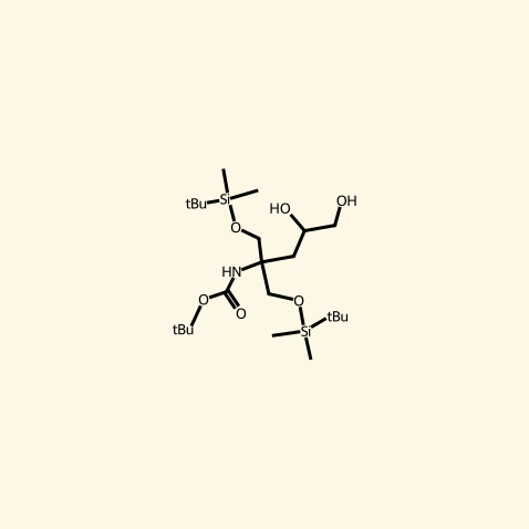 CC(C)(C)OC(=O)NC(CO[Si](C)(C)C(C)(C)C)(CO[Si](C)(C)C(C)(C)C)CC(O)CO